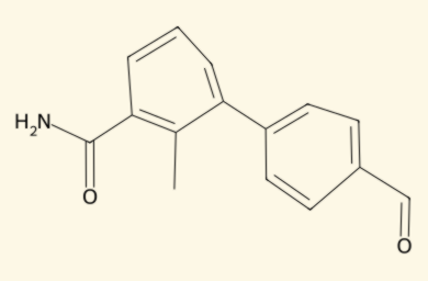 Cc1c(C(N)=O)cccc1-c1ccc(C=O)cc1